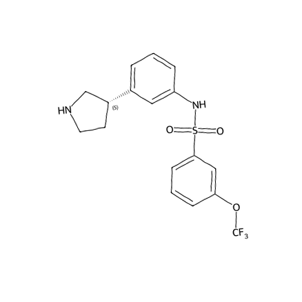 O=S(=O)(Nc1cccc([C@@H]2CCNC2)c1)c1cccc(OC(F)(F)F)c1